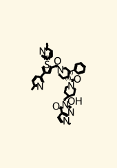 Cc1ccc(C2=C[SH](c3ccc(C)nc3)C(C(=O)N3CC[C@@H](C(=O)N4CCC(O)(Cn5cnc6c(ccn6C)c5=O)CC4)[C@H](c4ccccc4)C3)=C2)cn1